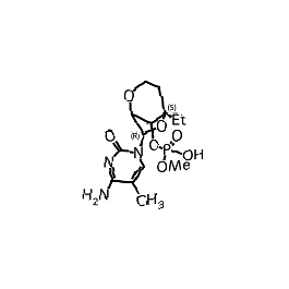 CC[C@]12CCOC(C1OP(=O)(O)OC)[C@H](n1cc(C)c(N)nc1=O)O2